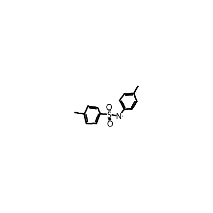 Cc1ccc([N]S(=O)(=O)c2ccc(C)cc2)cc1